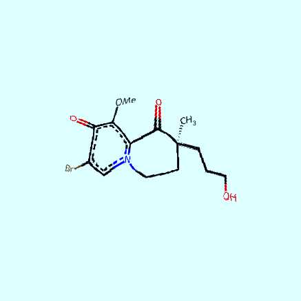 COc1c2n(cc(Br)c1=O)CC[C@](C)(CCCO)C2=O